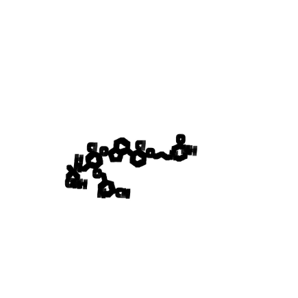 CC(CO)(CO)NCc1cc(Cl)c(O[C@H]2CCc3c(-c4cccc(OCCCN5CCNC(=O)C5)c4Cl)cccc32)cc1OCc1cncc(C#N)c1